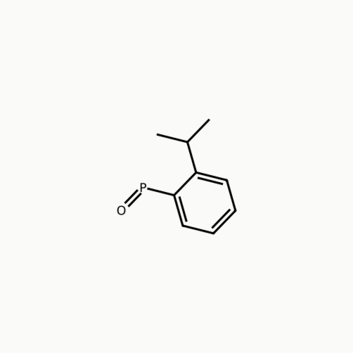 CC(C)c1ccccc1P=O